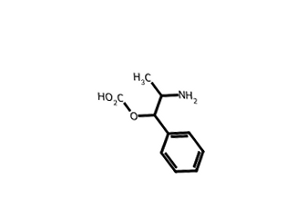 CC(N)C(OC(=O)O)c1ccccc1